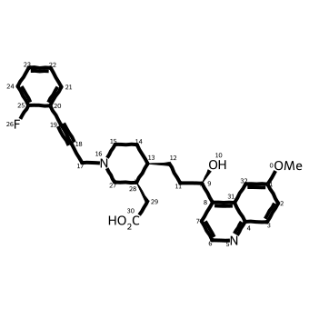 COc1ccc2nccc([C@H](O)CC[C@@H]3CCN(CC#Cc4ccccc4F)C[C@@H]3CC(=O)O)c2c1